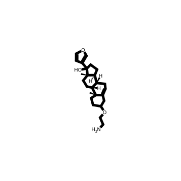 C[C@]12CCC(OCCN)CC1=CC[C@@H]1[C@H]2CC[C@@]2(C)[C@H]1CCC2(O)c1ccoc1